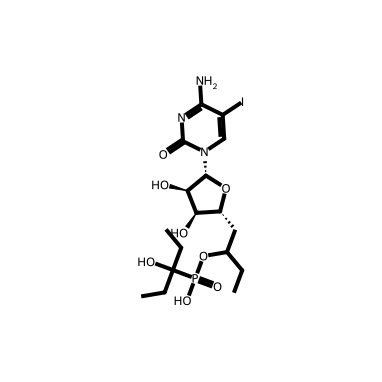 CCC(C[C@H]1O[C@@H](n2cc(I)c(N)nc2=O)[C@H](O)[C@@H]1O)OP(=O)(O)C(O)(CC)CC